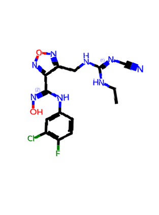 CCN/C(=N\C#N)NCc1nonc1/C(=N/O)Nc1ccc(F)c(Cl)c1